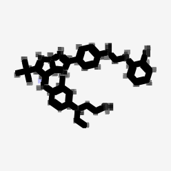 CCN(CCO)c1ccc(/N=C2/C(C(C)(C)C)=Nn3nc(-c4ccc(NCOc5ccccc5Cl)cc4)nc32)c(C)c1